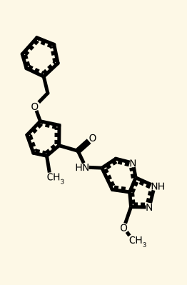 COc1n[nH]c2ncc(NC(=O)c3cc(OCc4ccccc4)ccc3C)cc12